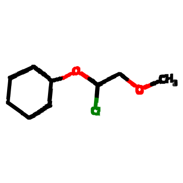 COCC(Cl)OC1CCCCC1